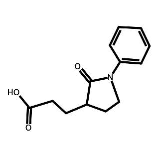 O=C(O)CCC1CCN(c2ccccc2)C1=O